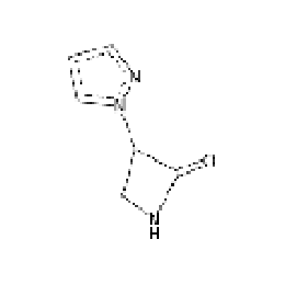 O=C1NCC1n1cccn1